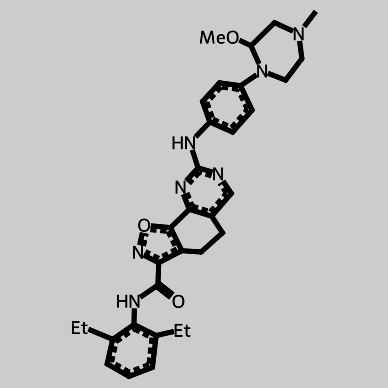 CCc1cccc(CC)c1NC(=O)c1noc2c1CCc1cnc(Nc3ccc(N4CCN(C)CC4OC)cc3)nc1-2